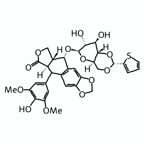 COc1cc(C2c3cc4c(cc3[C@@H](O[C@@H]3O[C@@H]5CO[C@@H](c6cccs6)O[C@H]5[C@H](O)[C@H]3O)[C@H]3COC(=O)[C@H]23)OCO4)cc(OC)c1O